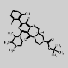 CC1C(C)N(c2nc(-c3c(O)cccc3F)c(Cl)c3c2C(=O)N2CCN(C(=O)OC(C)(C)C)C[C@@H]2CO3)CCN1C